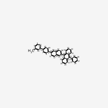 Cc1ccnc(-c2ccc(-c3ccc4cc(-c5c6ccccc6c(-c6ccccc6)c6ccccc56)ccc4c3)cc2)c1